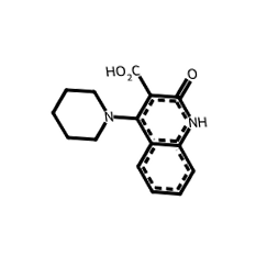 O=C(O)c1c(N2CCCCC2)c2ccccc2[nH]c1=O